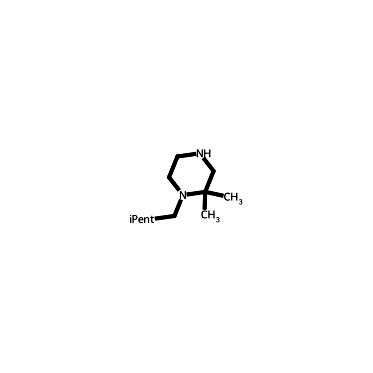 CCCC(C)CN1CCNCC1(C)C